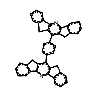 c1ccc2c(c1)Cc1c-2nc2c(c1-c1ccc(-c3c4c(nc5c3Cc3ccccc3-5)-c3ccccc3C4)cc1)Cc1ccccc1-2